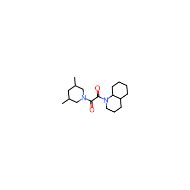 CC1CC(C)CN(C(=O)C(=O)N2CCCC3CCCCC32)C1